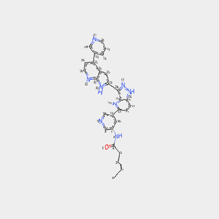 CCCCC(=O)Nc1cncc(-c2ccc3[nH]nc(-c4cc5c(-c6cccnc6)ccnc5[nH]4)c3n2)c1